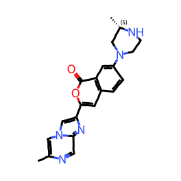 Cc1cn2cc(-c3cc4ccc(N5CCN[C@@H](C)C5)cc4c(=O)o3)nc2cn1